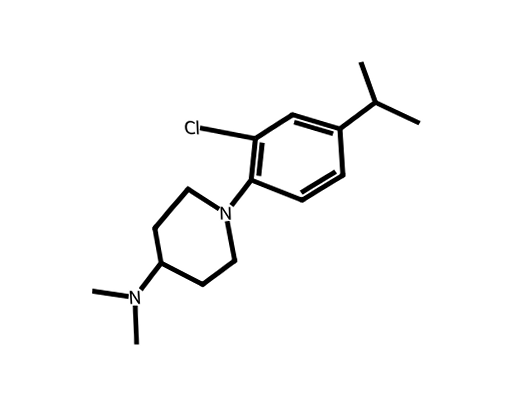 CC(C)c1ccc(N2CCC(N(C)C)CC2)c(Cl)c1